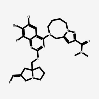 CN(C)C(=O)c1cc2n(n1)CCCCN(c1nc(OCC34CCCN3C/C(=C\F)C4)nc3c(F)c(Br)c(Cl)cc13)C2